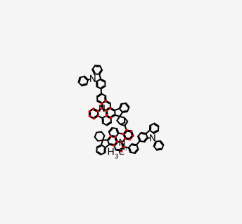 C[C@@H](c1cccc(-c2ccc3c4ccccc4n(-c4ccccc4)c3c2)c1)N(c1ccc2c(c1)-c1ccccc1C21CCCCC1)c1ccccc1-c1ccccc1-c1ccccc1-c1cccc(C2CC3CC2CC32c3ccccc3-c3cc(N(c4ccc(-c5ccc6c7ccccc7n(-c7ccccc7)c6c5)cc4)c4ccccc4-c4ccccc4-c4ccccc4C4=CCCC=C4)ccc32)c1